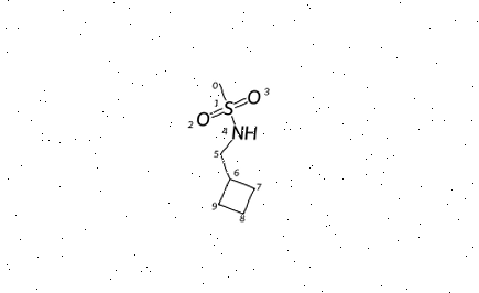 CS(=O)(=O)NCC1CCC1